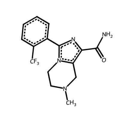 CN1CCn2c(-c3ccccc3C(F)(F)F)nc(C(N)=O)c2C1